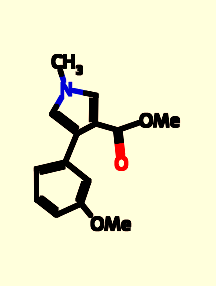 COC(=O)c1cn(C)cc1-c1cccc(OC)c1